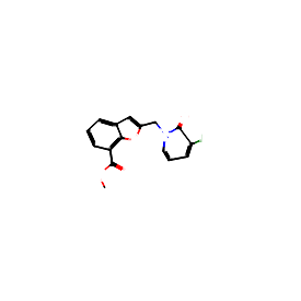 COC(=O)c1cccc2cc(Cn3cccc(Br)c3=O)oc12